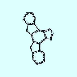 c1ccc2c(c1)Cc1c3c(c4nsnc4c1-2)-c1ccccc1C3